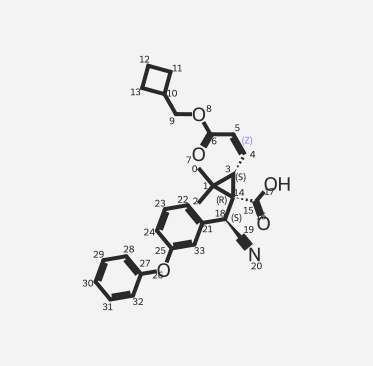 CC1(C)[C@H](/C=C\C(=O)OCC2CCC2)[C@@]1(C(=O)O)[C@@H](C#N)c1cccc(Oc2ccccc2)c1